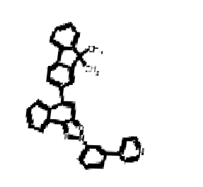 CC1(C)c2ccccc2-c2ccc(-c3cc4nn(-c5cccc(-c6ccncc6)c5)nc4c4ccccc34)cc21